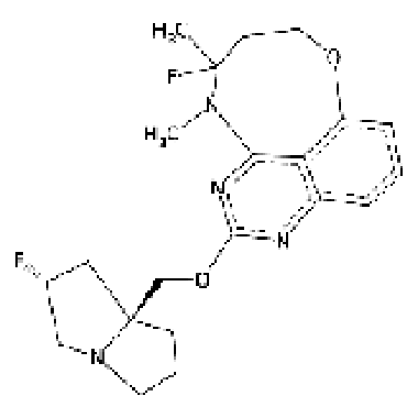 CN1c2nc(OC[C@@]34CCCN3C[C@H](F)C4)nc3cccc(c23)OCCC1(C)F